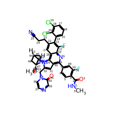 CNC(=O)c1ccc(-c2nc3c(F)c(-c4cccc(Cl)c4Cl)c(CCC#N)cc3c3c2cc([C@@H](C)n2ccncc2=O)n3[C@H]2[C@H]3CN[C@@H]2C3)cc1F